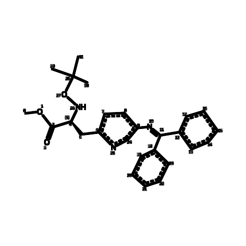 COC(=O)[C@H](Cc1ccc(N=C(c2ccccc2)c2ccccc2)cn1)NOC(C)(C)C